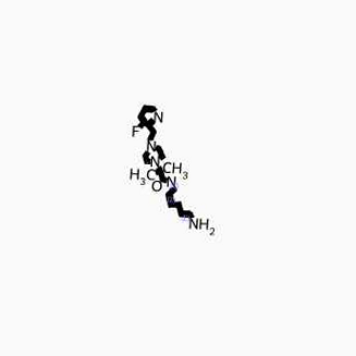 CC(C)(C(=O)/N=C\C=C/C/C=C/N)N1CCN(CCc2ncccc2F)CC1